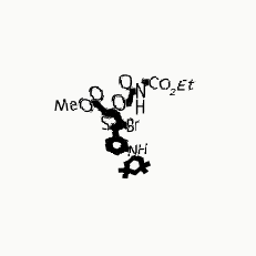 CCOC(=O)CNC(=O)COc1c(C(=O)OC)sc(-c2cccc(NC3CC(C)(C)CC(C)(C)C3)c2)c1Br